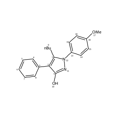 CCCCc1c(-c2ccccc2)c(O)nn1-c1ccc(OC)cc1